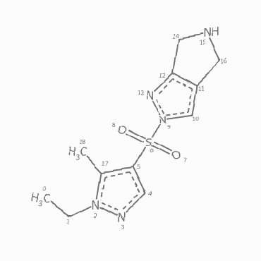 CCn1ncc(S(=O)(=O)n2cc3c(n2)CNC3)c1C